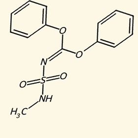 CNS(=O)(=O)N=C(Oc1ccccc1)Oc1ccccc1